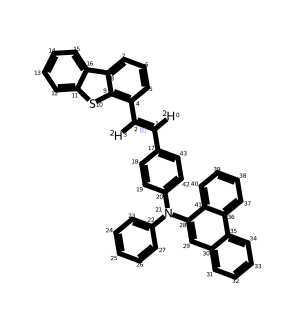 [2H]/C(=C(/[2H])c1cccc2c1sc1ccccc12)c1ccc(N(c2ccccc2)c2cc3ccccc3c3ccccc23)cc1